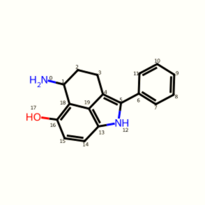 NC1CCc2c(-c3ccccc3)[nH]c3ccc(O)c1c23